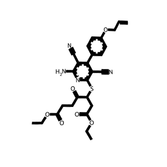 C=CCOc1ccc(-c2c(C#N)c(N)nc(SC(CC(=O)OCC)C(=O)CCC(=O)OCC)c2C#N)cc1